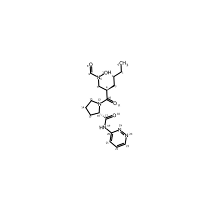 CCCC[C@H](CN(O)C=O)C(=O)N1CCC[C@H]1C(=O)Nc1cccnn1